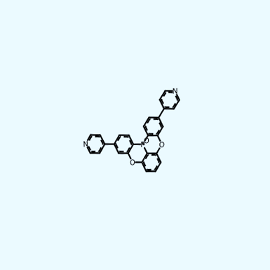 O=P12c3ccc(-c4ccncc4)cc3Oc3cccc(c31)Oc1cc(-c3ccncc3)ccc12